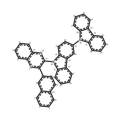 c1ccc2cc(-c3nc4ccccc4nc3-n3c4ccccc4c4cc(-n5c6ccccc6c6ccccc65)ccc43)ccc2c1